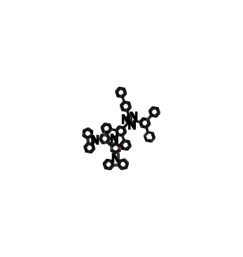 C1=CCC(c2cc(-c3ccccc3)cc(-c3nc(-c4ccc(-c5ccccc5)cc4)nc(-c4cc(-c5ccccc5)c(-n5c6ccc(-n7c8ccccc8c8ccccc87)cc6c6cc(-n7c8ccccc8c8ccccc87)ccc65)c(-c5ccccc5)c4)n3)c2)C=C1